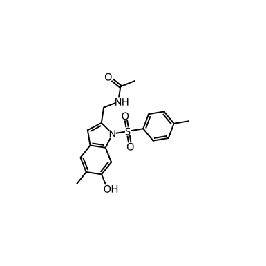 CC(=O)NCc1cc2cc(C)c(O)cc2n1S(=O)(=O)c1ccc(C)cc1